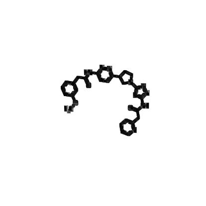 O=C(Cc1cccc(OC(F)(F)F)c1)Nc1ccc(C2CCN(c3nnc(NC(=O)Cc4ccccn4)s3)C2)nn1